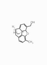 Cc1ccc2c3c1OC1C(CO)=CC=C4[C@H](C2)NCC[C@@]431